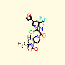 CC1(C)COC(=O)N1C1CCN(C(=O)c2nc3c(C(F)(F)F)cc(-c4ccoc4)cn3c2Cl)CC1